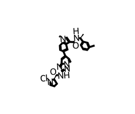 Cc1cccc([C@H](C)NC(=O)c2cn(C)c3ccc(-c4ccn5nc(NC(=O)[C@H]6CCCN6Cl)nc5c4)cc23)c1